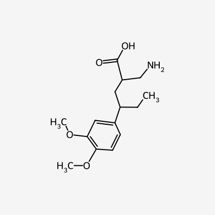 CCC(CC(CN)C(=O)O)c1ccc(OC)c(OC)c1